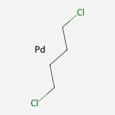 ClCCCCCl.[Pd]